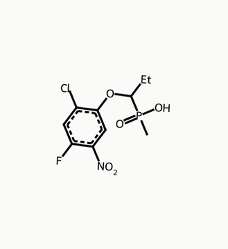 CCC(Oc1cc([N+](=O)[O-])c(F)cc1Cl)P(C)(=O)O